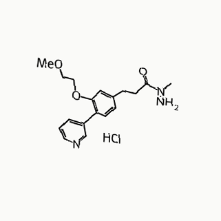 COCCOc1cc(CCC(=O)N(C)N)ccc1-c1cccnc1.Cl